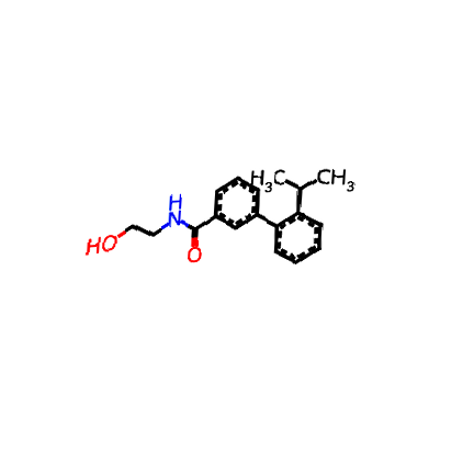 CC(C)c1ccccc1-c1cccc(C(=O)NCCO)c1